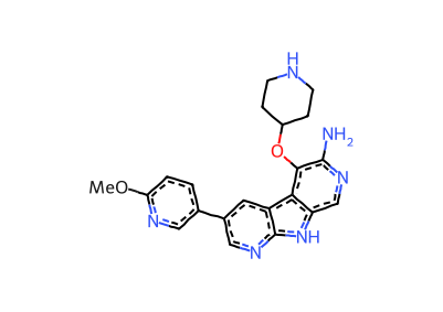 COc1ccc(-c2cnc3[nH]c4cnc(N)c(OC5CCNCC5)c4c3c2)cn1